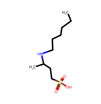 CCCCCCNC(C)CCS(=O)(=O)O